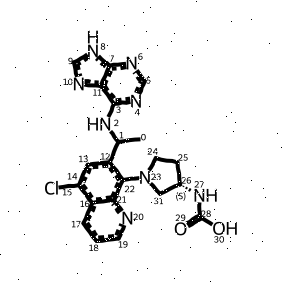 CC(Nc1ncnc2[nH]cnc12)c1cc(Cl)c2cccnc2c1N1CC[C@H](NC(=O)O)C1